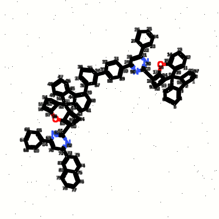 C1=CC2c3ccccc3C3(c4ccccc4Oc4c(-c5nc(-c6ccccc6)cc(-c6ccc(-c7cccc(-c8cccc9c8-c8ccccc8C98c9ccccc9Oc9c(-c%10nc(-c%11ccccc%11)cc(-c%11ccc%12ccccc%12c%11)n%10)cccc98)c7)cc6)n5)cccc43)C2C=C1